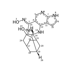 N/C(=N\O)c1cnc2[nH]ccc2c1N[C@@H]1C2CC3C[C@@H](C2)CC1(O)C3